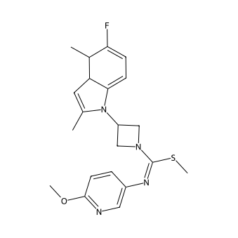 COc1ccc(/N=C(/SC)N2CC(N3C(C)=CC4C3=CC=C(F)C4C)C2)cn1